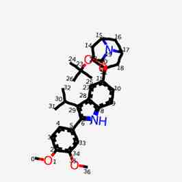 COc1ccc(-c2[nH]c3ccc(C4CCC5CC(C4)N5C(=O)OC(C)(C)C)cc3c2C(C)C)cc1OC